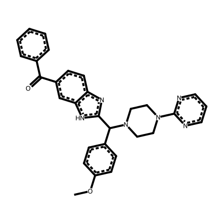 COc1ccc(C(c2nc3ccc(C(=O)c4ccccc4)cc3[nH]2)N2CCN(c3ncccn3)CC2)cc1